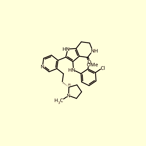 COc1c(Cl)cccc1Nc1c(-c2ccncc2CC[C@@H]2CCCN2C)[nH]c2c1C(=O)NCC2